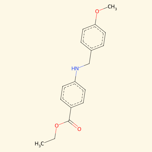 CCOC(=O)c1ccc(NCc2ccc(OC)cc2)cc1